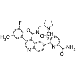 Cc1cc(F)cc(-c2cnc3ccc(-c4cccc(C(N)=O)n4)cc3c2C(=O)N(C)C[C@@H]2CCCN2C)c1